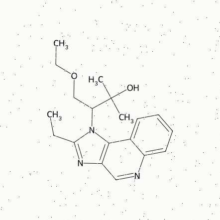 CCOCC(n1c(CC)nc2cnc3ccccc3c21)C(C)(C)O